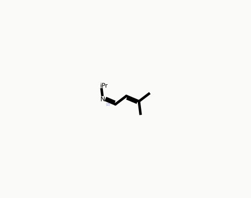 CC(C)=C/C=N\C(C)C